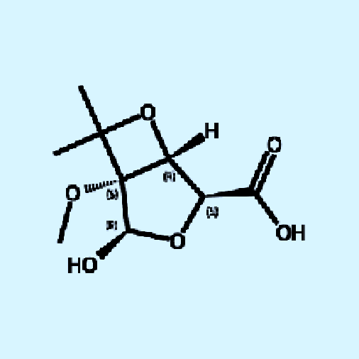 CO[C@@]12[C@H](O)O[C@H](C(=O)O)[C@H]1OC2(C)C